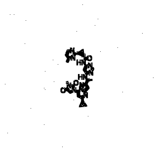 Cc1ccnc([C@H]2C[C@@H]2C(=O)Nc2cc(N[C@@H](C)c3cc4nc(C5CC5)cc(N5CC(=O)N(C)C5=O)n4n3)ncn2)n1